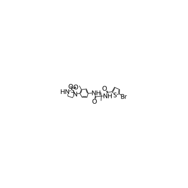 Cc1cc(NC(=O)C(C)(C)NC(=O)c2ccc(Br)s2)ccc1N1CCNS1(=O)=O